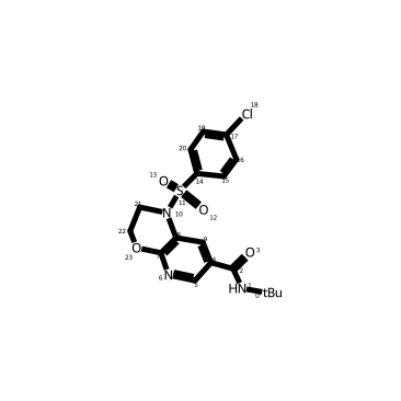 CC(C)(C)NC(=O)c1cnc2c(c1)N(S(=O)(=O)c1ccc(Cl)cc1)CCO2